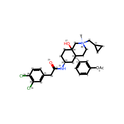 CC(=O)Oc1cccc([C@@]23CC[N@+](C)(CC4CC4)CC2(O)CC[C@H](NC(=O)Cc2ccc(Cl)c(Cl)c2)C3)c1